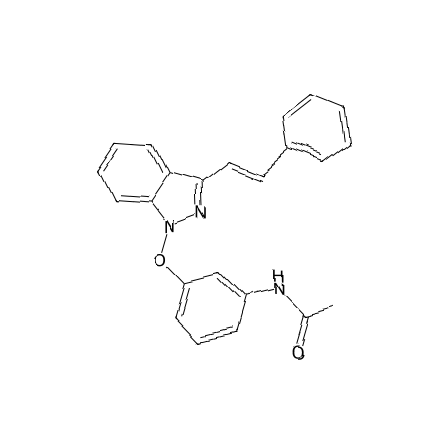 CC(=O)Nc1cccc(On2nc(C=Cc3ccccc3)c3ccccc32)c1